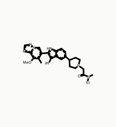 CCN(C)C(=O)CN1CCC(c2ccc3[nH]c(-c4cn5ncnc5c(OC)c4C)c(C(C)C)c3c2)CC1